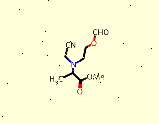 COC(=O)C(C)N(CC#N)CCOC=O